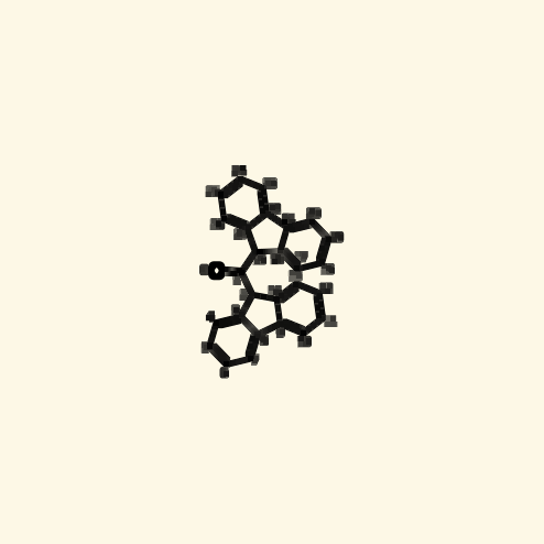 O=C(C1c2ccccc2-c2ccccc21)C1c2ccccc2-c2ccccc21